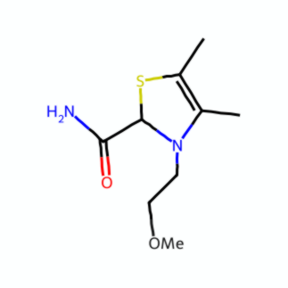 COCCN1C(C)=C(C)SC1C(N)=O